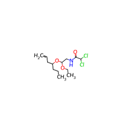 C=CCC(CCC)OC(CNC(=O)C(Cl)Cl)OCC